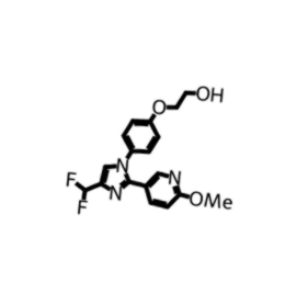 COc1ccc(-c2nc(C(F)F)cn2-c2ccc(OCCO)cc2)cn1